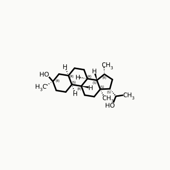 CC(O)[C@H]1C[C@@H](C)[C@H]2[C@@H]3CC[C@@H]4C[C@](C)(O)CC[C@@H]4[C@H]3CC[C@@]21C